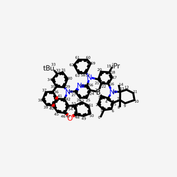 Cc1cc2c3c(c1)C1(C)CCCCC1(C)N3c1cc(C(C)C)cc3c1B2c1ccc(N(c2ccc(C(C)(C)C)cc2-c2ccccc2)c2cccc4oc5ccccc5c24)nc1N3c1ccccc1